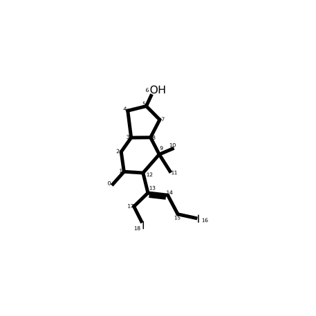 CC1CC2CC(O)CC2C(C)(C)C1/C(=C/CI)CI